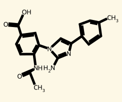 CC(=O)Nc1ccc(C(=O)O)cc1-n1cc(-c2ccc(C)cc2)nc1N